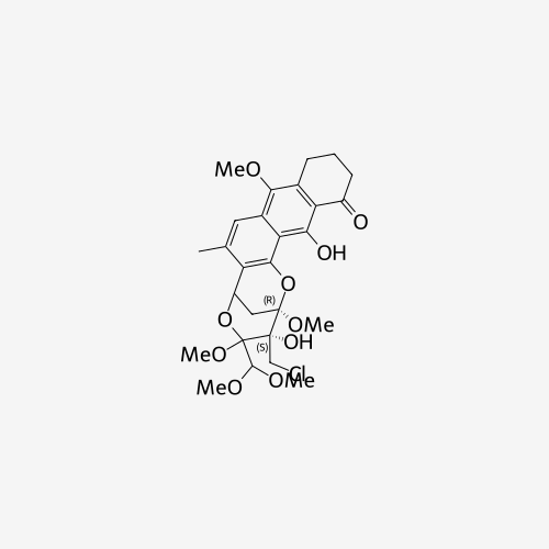 COc1c2c(c(O)c3c4c(c(C)cc13)C1C[C@@](OC)(O4)[C@@](O)(CCl)C(OC)(C(OC)OC)O1)C(=O)CCC2